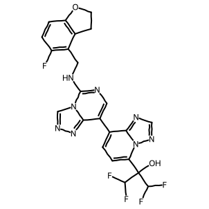 OC(c1ccc(-c2cnc(NCc3c(F)ccc4c3CCO4)n3cnnc23)c2ncnn12)(C(F)F)C(F)F